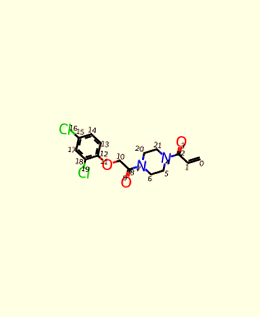 C=CC(=O)N1CCN(C(=O)COc2ccc(Cl)cc2Cl)CC1